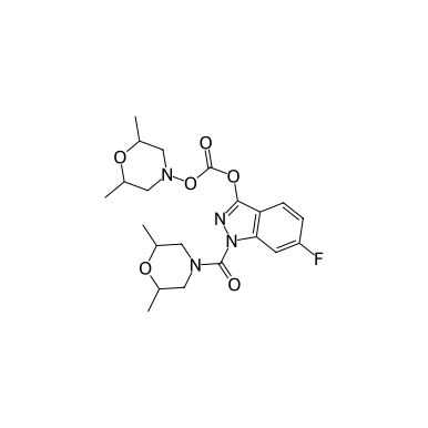 CC1CN(OC(=O)Oc2nn(C(=O)N3CC(C)OC(C)C3)c3cc(F)ccc23)CC(C)O1